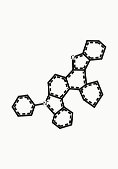 c1ccc(-n2c3ccccc3c3c4c5ccccc5c5c6ccccc6oc5c4ccc32)cc1